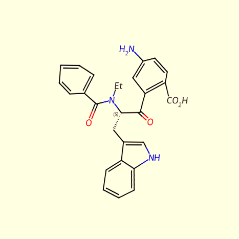 CCN(C(=O)c1ccccc1)[C@@H](Cc1c[nH]c2ccccc12)C(=O)c1cc(N)ccc1C(=O)O